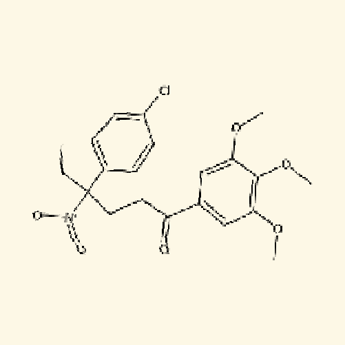 CCC(CCC(=O)c1cc(OC)c(OC)c(OC)c1)(c1ccc(Cl)cc1)[N+](=O)[O-]